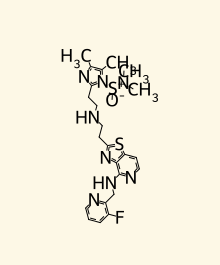 Cc1nc(CCNCCc2nc3c(NCc4ncccc4F)nccc3s2)n([S+]([O-])N(C)C)c1C